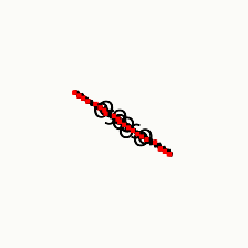 CCCCCCCCCCCCOC(=O)CCSCCC(=O)OCCOC(=O)CCSCCC(=O)OCCCCCCCCCCCC